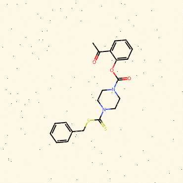 CC(=O)c1ccccc1OC(=O)N1CCN(C(=S)SCc2ccccc2)CC1